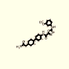 CCOc1cccc(Nc2nnc(C(=O)Nc3ccc(C4CCC(CC(N)=O)CC4)cc3)o2)c1